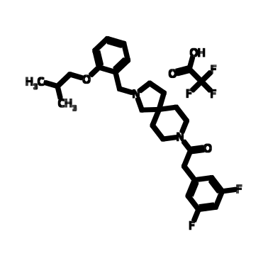 CC(C)COc1ccccc1CN1CCC2(CCN(C(=O)Cc3cc(F)cc(F)c3)CC2)C1.O=C(O)C(F)(F)F